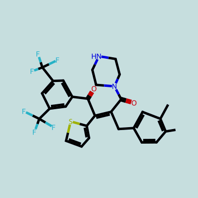 Cc1ccc(CC(C(=O)N2CCNCC2)=C(C(=O)c2cc(C(F)(F)F)cc(C(F)(F)F)c2)c2cccs2)cc1C